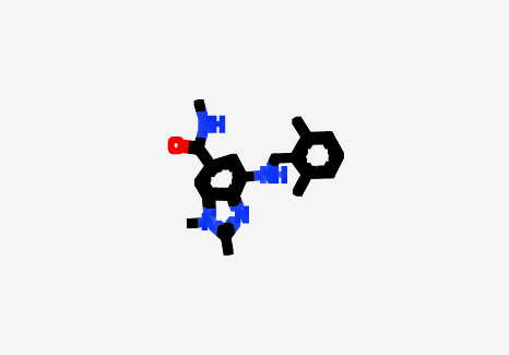 CNC(=O)c1cc(NCc2c(C)cccc2C)c2nc(C)n(C)c2c1